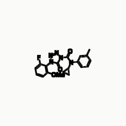 COc1cccc(F)c1-n1nnn(C(=O)N(c2cccc(C)c2)C2CC2)c1=O